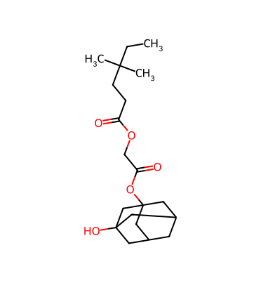 CCC(C)(C)CCC(=O)OCC(=O)OC12CC3CC(CC(O)(C3)C1)C2